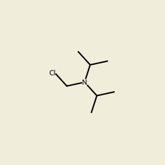 CC(C)N(CCl)C(C)C